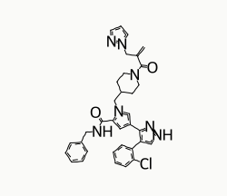 C=C(Cn1cccn1)C(=O)N1CCC(Cn2cc(-c3n[nH]cc3-c3ccccc3Cl)cc2C(=O)NCc2ccccc2)CC1